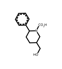 O=C(O)N1CC(CO)CCC1c1ccccc1